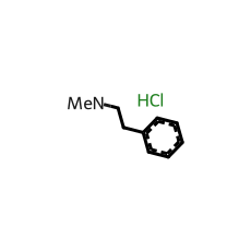 CNCCc1ccccc1.Cl